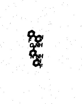 O=C(Nc1cncc(-c2ccccc2F)c1)c1ccnc(Nc2cccc(F)n2)c1